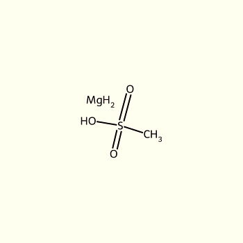 CS(=O)(=O)O.[MgH2]